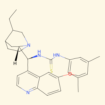 CCC1CN2CCC1C[C@H]2[C@@H](NC(=S)Nc1cc(C)cc(C)c1)c1ccnc2ccc(OC)cc12